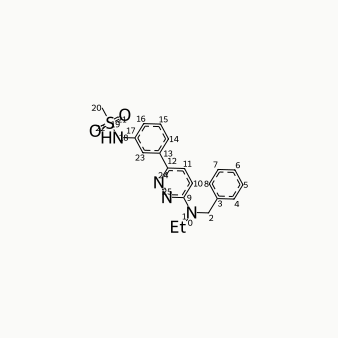 CCN(Cc1ccccc1)c1ccc(-c2cccc(NS(C)(=O)=O)c2)nn1